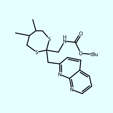 CC1CSC(CNC(=O)OC(C)(C)C)(Cc2ccc3cccnc3n2)SCC1C